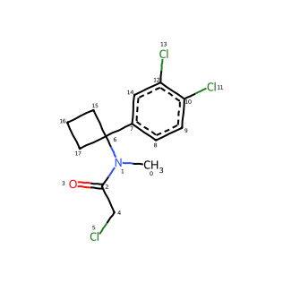 CN(C(=O)CCl)C1(c2ccc(Cl)c(Cl)c2)CCC1